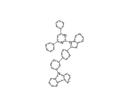 c1ccc(-c2cc(-c3ccccc3)nc(-n3c(-c4ccc(-c5cccc(-n6c7ccccc7c7ccccc76)c5)cc4)cc4ccccc43)n2)cc1